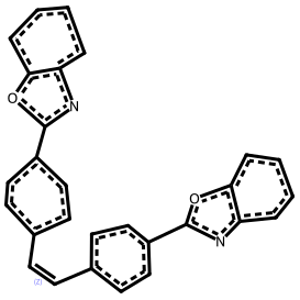 C(=C/c1ccc(-c2nc3ccccc3o2)cc1)/c1ccc(-c2nc3ccccc3o2)cc1